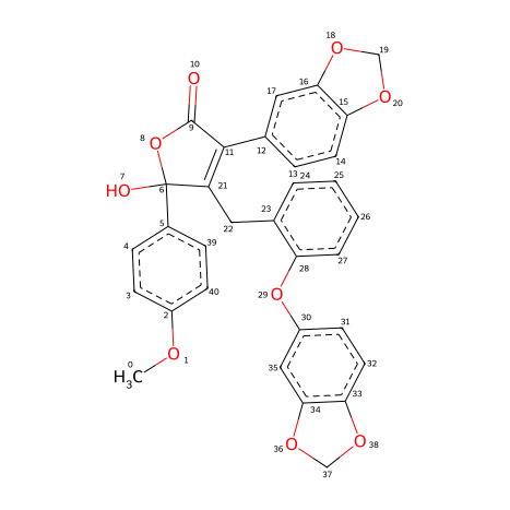 COc1ccc(C2(O)OC(=O)C(c3ccc4c(c3)OCO4)=C2Cc2ccccc2Oc2ccc3c(c2)OCO3)cc1